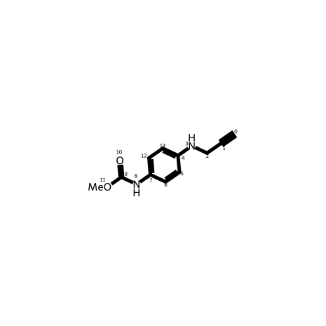 C#CCNc1ccc(NC(=O)OC)cc1